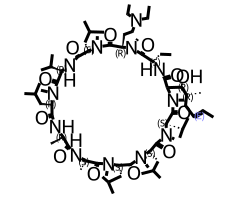 C/C=C/C[C@@H](C)[C@@H](O)C1C(=O)N[C@@H](CC)C(=O)N(C)[C@H](CCN(CC)CC)C(=O)N(C)[C@@H](CC(C)C)C(=O)N[C@H](C(C)C)C(=O)N(C)[C@H](CC(C)C)C(=O)N[C@H](C)C(=O)N[C@@H](C)C(=O)N(C)[C@@H](CC(C)C)C(=O)N(C)[C@@H](CC(C)C)C(=O)N(C)[C@@H](C(C)C)C(=O)N1C